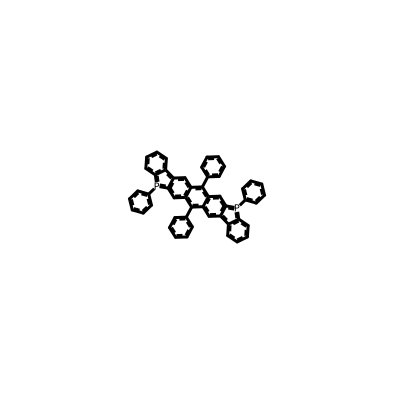 c1ccc(-c2c3cc4c5ccccc5p(-c5ccccc5)c4cc3c(-c3ccccc3)c3cc4c5ccccc5p(-c5ccccc5)c4cc23)cc1